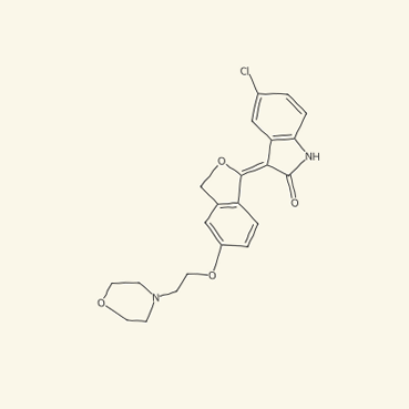 O=C1Nc2ccc(Cl)cc2C1=C1OCc2cc(OCCN3CCOCC3)ccc21